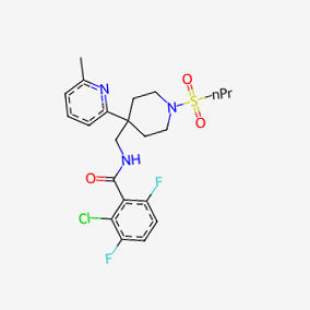 CCCS(=O)(=O)N1CCC(CNC(=O)c2c(F)ccc(F)c2Cl)(c2cccc(C)n2)CC1